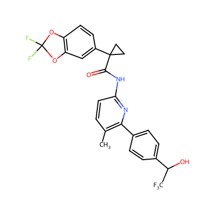 Cc1ccc(NC(=O)C2(c3ccc4c(c3)OC(F)(F)O4)CC2)nc1-c1ccc(C(O)C(F)(F)F)cc1